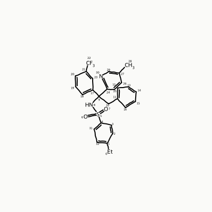 CCc1ccc(S(=O)(=O)NC(Cc2ccccc2)(c2cccc(C(F)(F)F)c2)c2ccc(C)cn2)cc1